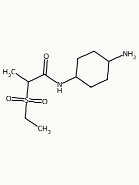 CCS(=O)(=O)C(C)C(=O)NC1CCC(N)CC1